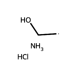 Cl.N.[CH2]CO